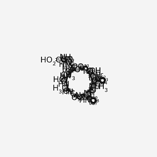 CC1NC(=O)C(C(C)O)NC(=O)C(NC(=O)C(CO)NC(=O)CC(N)C(=O)O)C(C)OC(=O)C2CCCN2C(=O)C(C(O)C(C)C)NC(=O)C(C(C)c2c[nH]c3ccccc23)NC(=O)C(Cc2c[nH]c3ccccc23)NC(=O)C2CCCN2C(=O)CNC1=O